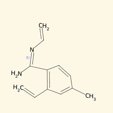 C=C/N=C(/N)c1ccc(C)cc1C=C